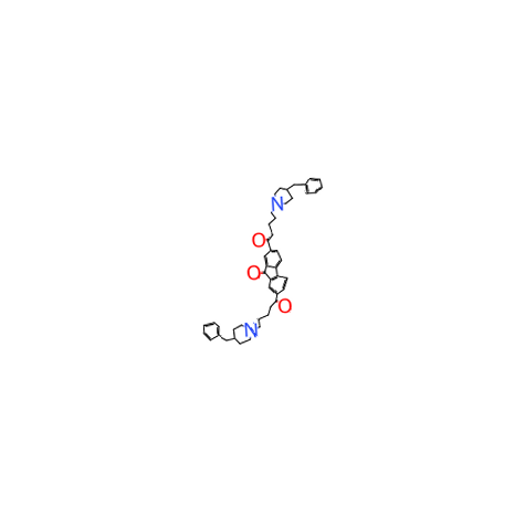 O=C(CCCCN1CCC(Cc2ccccc2)CC1)c1ccc2c(c1)C(=O)c1cc(C(=O)CCCCN3CCC(Cc4ccccc4)CC3)ccc1-2